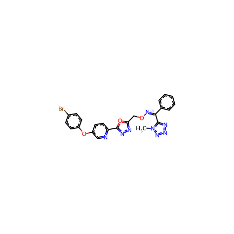 Cn1nnnc1/C(=N\OCc1nnc(-c2ccc(Oc3ccc(Br)cc3)cn2)o1)c1ccccc1